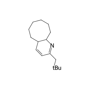 CC(C)(C)CC1=NC2CCCCCCC2C=C1